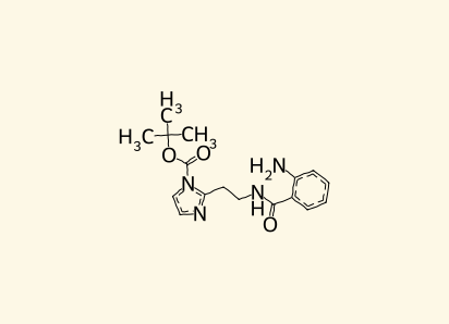 CC(C)(C)OC(=O)n1ccnc1CCNC(=O)c1ccccc1N